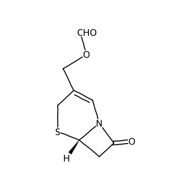 O=COCC1=CN2C(=O)C[C@@H]2SC1